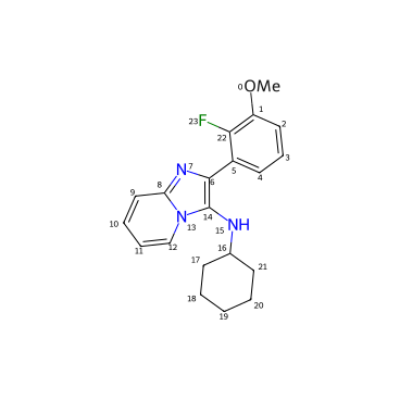 COc1cccc(-c2nc3ccccn3c2NC2CCCCC2)c1F